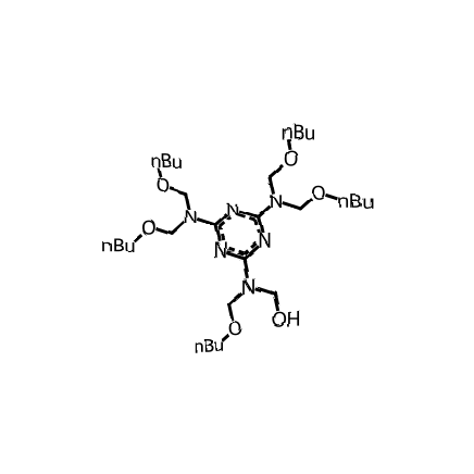 CCCCOCN(CO)c1nc(N(COCCCC)COCCCC)nc(N(COCCCC)COCCCC)n1